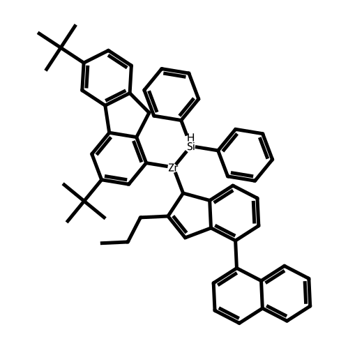 CCCC1=Cc2c(-c3cccc4ccccc34)cccc2[CH]1[Zr]([c]1cc(C(C)(C)C)cc2c1Cc1ccc(C(C)(C)C)cc1-2)[SiH](c1ccccc1)c1ccccc1